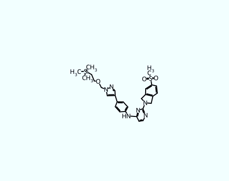 C[Si](C)(C)CCOCn1cc(-c2ccc(Nc3ccnc(N4Cc5ccc(S(C)(=O)=O)cc5C4)n3)cc2)cn1